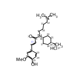 COc1cc(/C=C/C(=O)N(CCCCN(C)C)[C@H]2CC[C@H](C)CC2)ccc1O.Cl